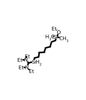 CCO[Si](C)(C)CCCCCCCC[SiH2]C(N(CC)CC)N(CC)CC